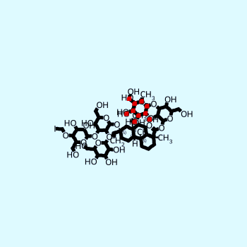 C=C[C@]1(OC2OC(CO)C(O)C(OC3OC(CO)C(OCI)C(O)C3O)C2OC2OC(CO)C(O)C(O)C2O)CC[C@@H]2[C@@](CC)(CCC3[C@](C)(C(=O)OC4OC(CO)C(O)C(OC5OC(CO)C(O)C(O)C5O)C4OC4OC(C)C(O)C(O)C4O)CCC[C@]32C)C1